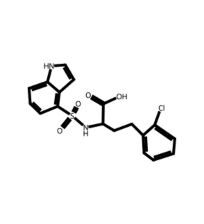 O=C(O)C(CCc1ccccc1Cl)NS(=O)(=O)c1cccc2[nH]ccc12